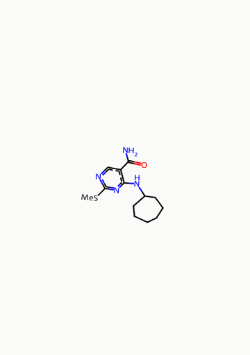 CSc1ncc(C(N)=O)c(NC2CCCCCC2)n1